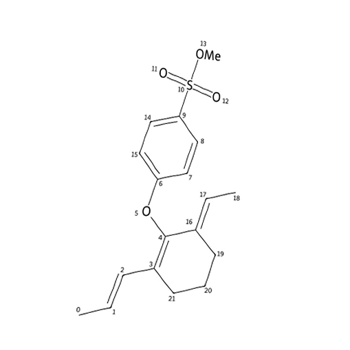 C/C=C/C1=C(Oc2ccc(S(=O)(=O)OC)cc2)C(=C/C)/CCC1